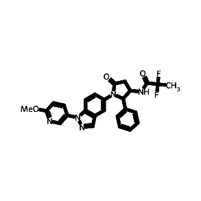 COc1ccc(-n2ncc3cc(N4C(=O)CC(NC(=O)C(C)(F)F)C4c4ccccc4)ccc32)cn1